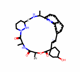 CC1NC(=O)C(C(C)C)OC(=O)C2(/C=C/c3ccc4ccc(nc4c3)C(C)NCC3CCCN(N3)C1=O)CCC(O)CC2